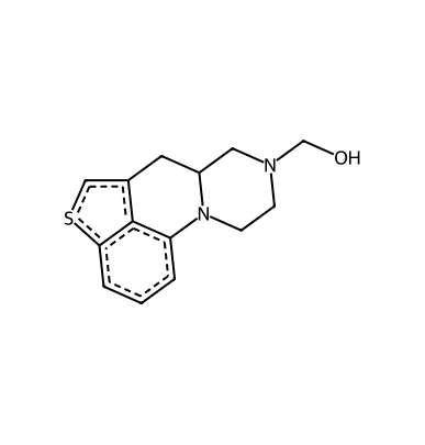 OCN1CCN2c3cccc4scc(c34)CC2C1